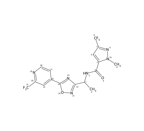 CC(NC(=O)c1cc(C(F)(F)F)nn1C)c1noc(-c2ccnc(C(F)(F)F)c2)n1